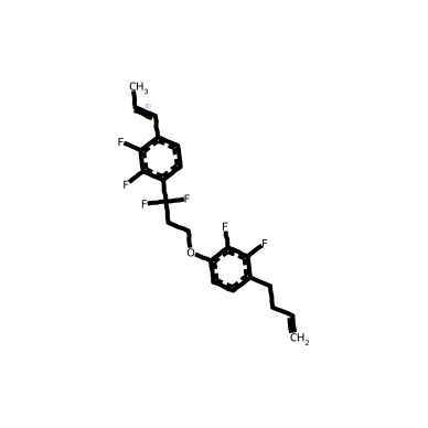 C=CCCc1ccc(OCCC(F)(F)c2ccc(/C=C/C)c(F)c2F)c(F)c1F